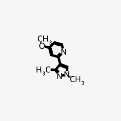 COc1ccnc(-c2cn(C)nc2C)c1